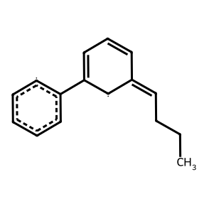 CCCC=C1[CH]C(c2[c]cccc2)=CC=C1